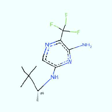 C[C@@H](Nc1cnc(C(F)(F)F)c(N)n1)C(C)(C)C